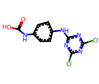 O=C(O)Nc1ccc(Nc2nc(Cl)nc(Cl)n2)cc1